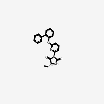 CC[C@H]1NC(=O)N(c2cccc(Oc3ccccc3-c3ccccc3)n2)C1=O